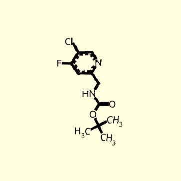 CC(C)(C)OC(=O)NCc1cc(F)c(Cl)cn1